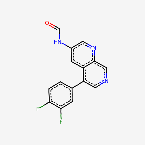 O=CNc1cnc2cncc(-c3ccc(F)c(F)c3)c2c1